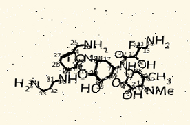 CN[C@@H]1[C@@H](O)[C@@H](O[C@H]2[C@H](NC(=O)C(O)C(F)CN)C[C@H](N)C(O[C@H]3OC(CN)=CC[C@H]3NCCCN)[C@@H]2O)OC[C@H]1C